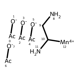 CC(=O)[O-].CC(=O)[O-].CC(=O)[O-].CC(=O)[O-].NC[CH](N)[Mn+4]